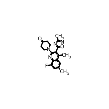 Cc1cc(F)c2nc(N3CCC(=O)CC3)c(-c3nc(C)no3)c(C)c2c1